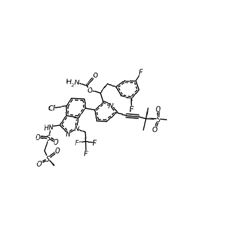 CC(C)(C#Cc1ccc(-c2ccc(Cl)c3c(NS(=O)(=O)CS(C)(=O)=O)nn(CC(F)(F)F)c23)c(C(Cc2cc(F)cc(F)c2)OC(N)=O)n1)S(C)(=O)=O